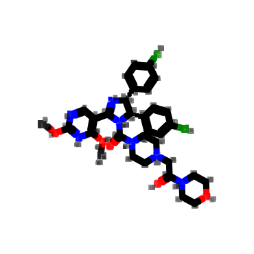 CCOc1ncc(C2=N[C@H](c3ccc(Cl)cc3)[C@H](c3ccc(Cl)cc3)N2C(=O)N2CCN(CC(=O)N3CCOCC3)CC2)c(OCC)n1